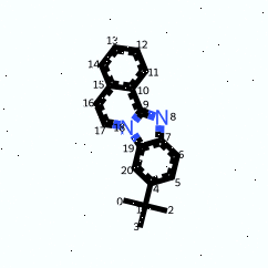 CC(C)(C)c1ccc2nc3c4ccccc4ccn3c2c1